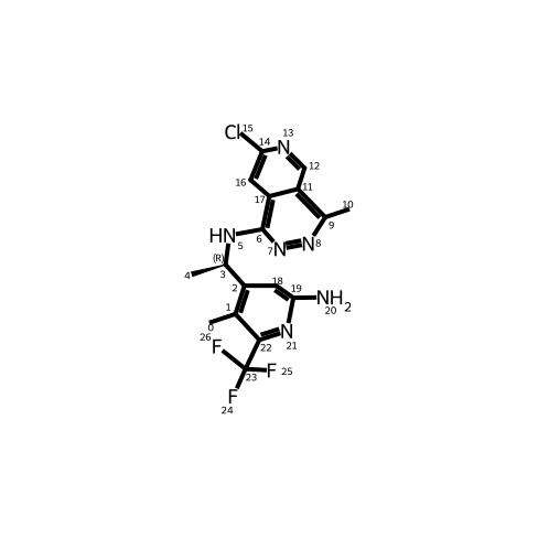 Cc1c([C@@H](C)Nc2nnc(C)c3cnc(Cl)cc23)cc(N)nc1C(F)(F)F